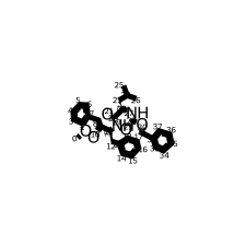 COc1c[c]ccc1CC(=O)[C@H](Cc1ccccc1)NC(=O)[C@H](CC(C)C)NC(=O)OCc1ccccc1